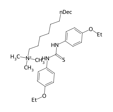 CCCCCCCCCCCCCCCC[N+](C)(C)C.CCOc1ccc(NC(=S)Nc2ccc(OCC)cc2)cc1